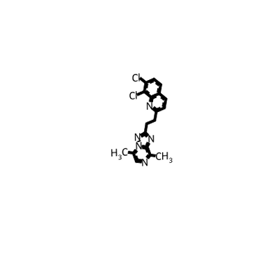 Cc1ncc(C)n2nc(CCc3ccc4ccc(Cl)c(Cl)c4n3)nc12